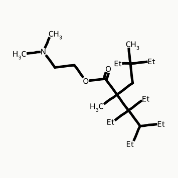 CCC(CC)C(CC)(CC)C(C)(CC(C)(CC)CC)C(=O)OCCN(C)C